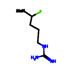 CNC(F)CCCNC(=N)N